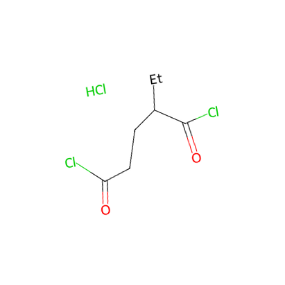 CCC(CCC(=O)Cl)C(=O)Cl.Cl